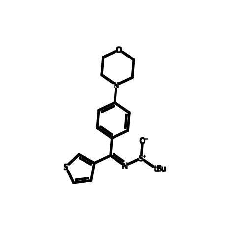 CC(C)(C)[S+]([O-])/N=C(\c1ccc(N2CCOCC2)cc1)c1ccsc1